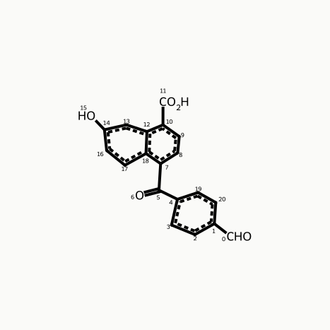 O=Cc1ccc(C(=O)c2ccc(C(=O)O)c3cc(O)ccc23)cc1